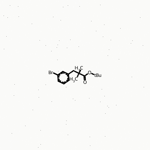 CC(C)(C)OC(=O)C(C)(C)Cc1cccc(Br)c1